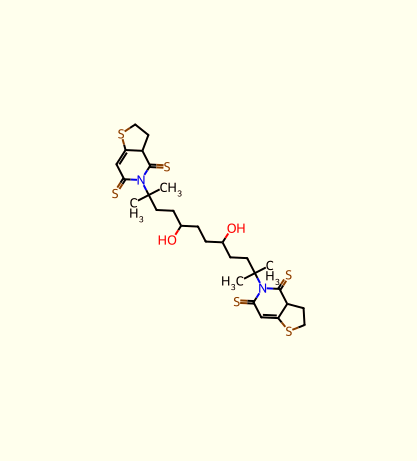 CC(C)(CCC(O)CCC(O)CCC(C)(C)N1C(=S)C=C2SCCC2C1=S)N1C(=S)C=C2SCCC2C1=S